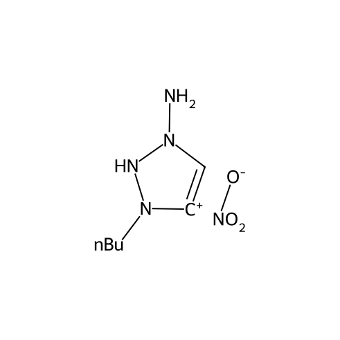 CCCCN1[C+]=CN(N)N1.O=[N+]([O-])[O-]